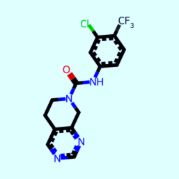 O=C(Nc1ccc(C(F)(F)F)c(Cl)c1)N1CCc2cncnc2C1